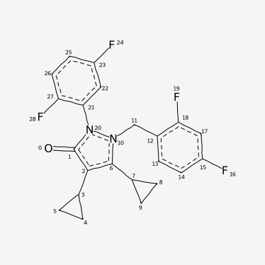 O=c1c(C2CC2)c(C2CC2)n(Cc2ccc(F)cc2F)n1-c1cc(F)ccc1F